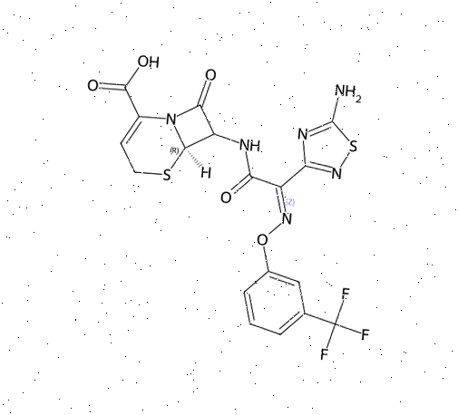 Nc1nc(/C(=N/Oc2cccc(C(F)(F)F)c2)C(=O)NC2C(=O)N3C(C(=O)O)=CCS[C@H]23)ns1